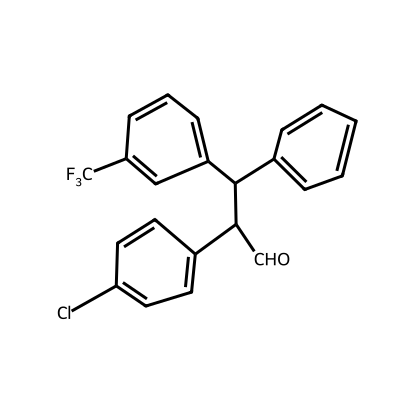 O=CC(c1ccc(Cl)cc1)C(c1ccccc1)c1cccc(C(F)(F)F)c1